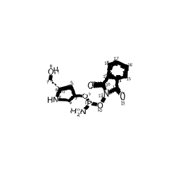 NP(OC1CN[C@H](CO)C1)ON1C(=O)c2ccccc2C1=O